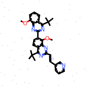 COc1cccc2c(C(C)(C)C)nc(-c3ccc4c(C(C)(C)C)nc(/C=C/c5cccnc5)nc4c3OC)nc12